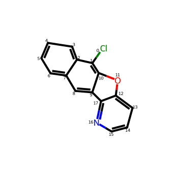 Clc1c2ccccc2cc2c1oc1cccnc12